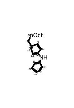 CCCCCCCCCc1ccc(Nc2ccccc2)cc1